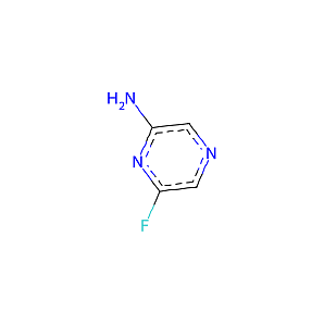 Nc1cncc(F)n1